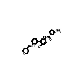 N[C@H]1CC[C@@H](C(=O)Nc2cc(-c3cccc(NCC4CCOCC4)c3)c(Cl)cn2)C1